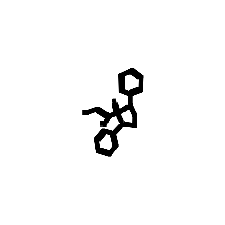 CC/C=C(\CC)P1(=S)N(c2ccccc2)CCN1c1ccccc1